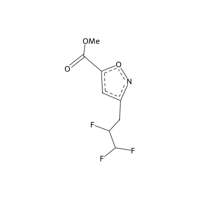 COC(=O)c1cc(CC(F)C(F)F)no1